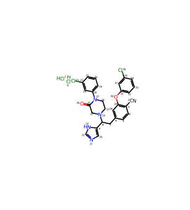 Cl.Cl.N#Cc1ccc(CC(c2cnc[nH]2)N2CCN(c3cccc(Cl)c3)C(=O)C2)cc1Oc1cccc(Cl)c1